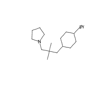 CC(C)C1CCC(CC(C)(C)CN2CCCC2)CC1